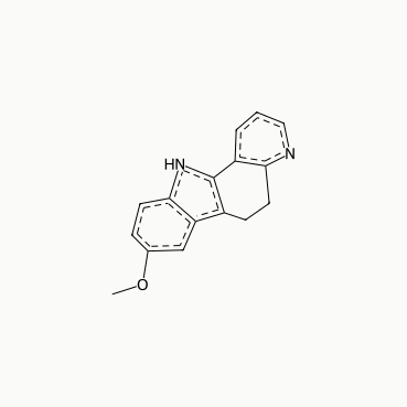 COc1ccc2[nH]c3c(c2c1)CCc1ncccc1-3